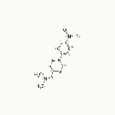 CN(C)CC1CCN(c2ccc([N+](=O)[O-])cc2)CC1